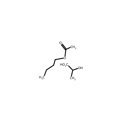 CC(O)C(=O)O.CCCCOC(C)=O